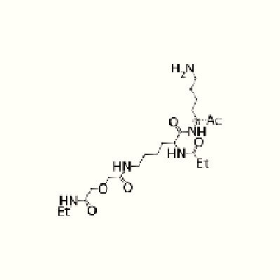 CCNC(=O)COCC(=O)NCCCCC(NC(=O)CC)C(=O)N[C@H](CCCCN)C(C)=O